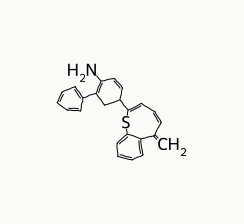 C=C1/C=C\C=C(\C2C=CC(N)=C(c3ccccc3)C2)Sc2ccccc21